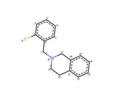 Fc1ccccc1CN1CCc2ccccc2C1